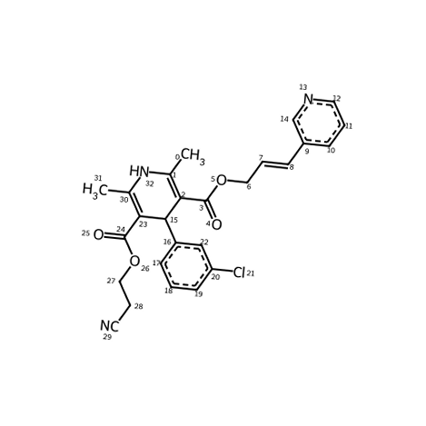 CC1=C(C(=O)OCC=Cc2cccnc2)C(c2cccc(Cl)c2)C(C(=O)OCCC#N)=C(C)N1